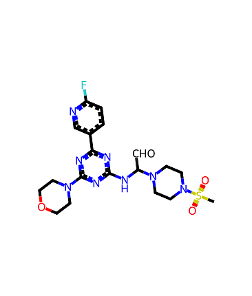 CS(=O)(=O)N1CCN(C(C=O)Nc2nc(-c3ccc(F)nc3)nc(N3CCOCC3)n2)CC1